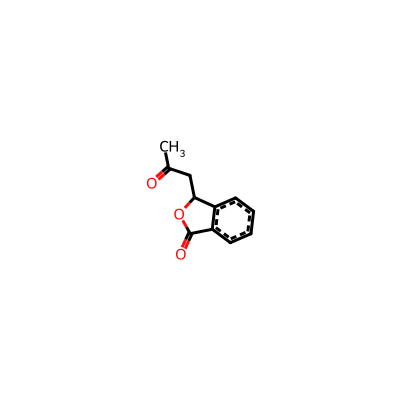 CC(=O)CC1OC(=O)c2ccccc21